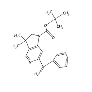 C=C(c1ccccc1)c1cc2c(cn1)C(C)(C)CN2C(=O)OC(C)(C)C